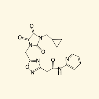 O=C(Cc1noc(CN2C(=O)C(=O)N(CC3CC3)C2=O)n1)Nc1ccccn1